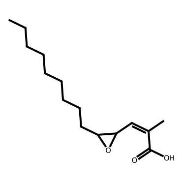 CCCCCCCCCC1OC1C=C(C)C(=O)O